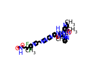 COc1cc(N2CCC(N3CCN(CCC4CCN(c5cc(F)c(C(C)CCC(=O)NC=O)c(F)c5)CC4)CC3)CC2)ccc1Nc1ncc(-n2nnc3ccccc32)c(Nc2ccc3nc(C)ccc3c2P(C)(C)=O)n1